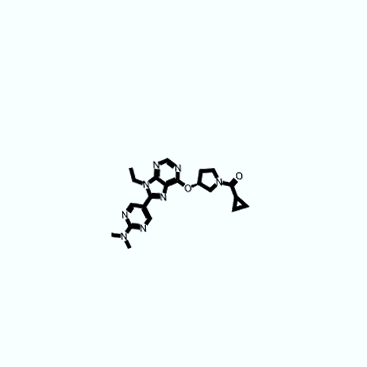 CCn1c(-c2cnc(N(C)C)nc2)nc2c(O[C@H]3CCN(C(=O)C4CC4)C3)ncnc21